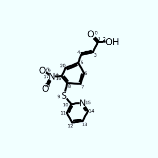 O=C(O)C=Cc1ccc(Sc2ccccn2)c([N+](=O)[O-])c1